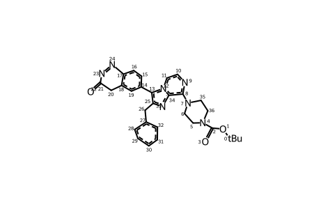 CC(C)(C)OC(=O)N1CCN(c2nccn3c(-c4ccc5c(c4)CC(=O)N=N5)c(Cc4ccccc4)nc23)CC1